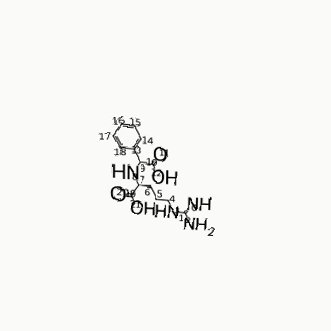 N=C(N)NCCC[C@H](NC(C(=O)O)c1ccccc1)C(=O)O